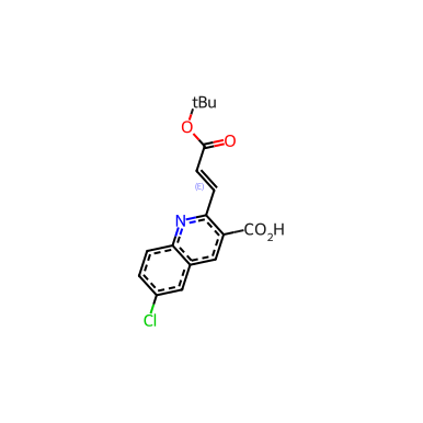 CC(C)(C)OC(=O)/C=C/c1nc2ccc(Cl)cc2cc1C(=O)O